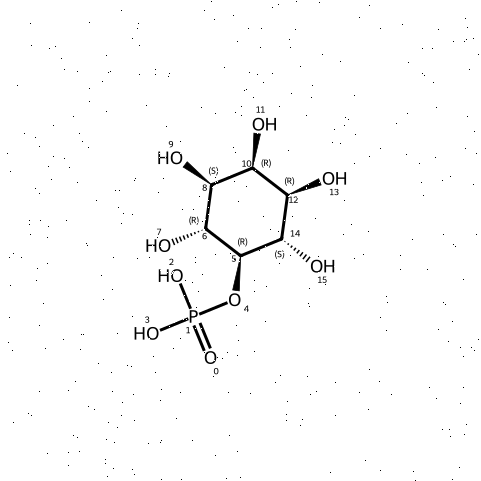 O=P(O)(O)O[C@H]1[C@H](O)[C@@H](O)[C@@H](O)[C@@H](O)[C@@H]1O